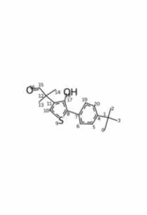 CC(C)(C)c1ccc(-c2scc(C(C)(C)C=O)c2O)cc1